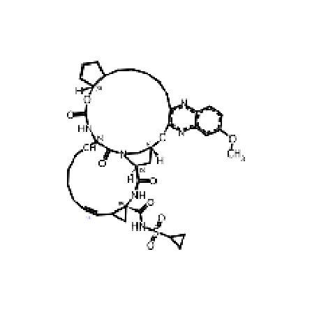 COc1ccc2nc3c(nc2c1)O[C@@H]1C[C@H]2C(=O)N[C@]4(C(=O)NS(=O)(=O)C5CC5)CC4/C=C\CCCCC[C@H](NC(=O)O[C@@H]4CCCC4CCCCC3)C(=O)N2C1